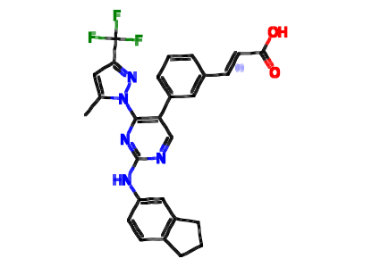 Cc1cc(C(F)(F)F)nn1-c1nc(Nc2ccc3c(c2)CCC3)ncc1-c1cccc(/C=C/C(=O)O)c1